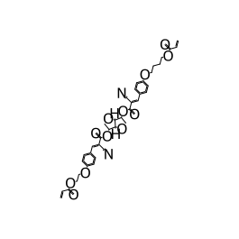 C=CC(=O)OCCCCOc1ccc(/C=C(\C#N)C(=O)O[C@H]2CO[C@H]3[C@@H]2OC[C@H]3OC(=O)/C(C#N)=C/c2ccc(OCCOC(=O)C=C)cc2)cc1